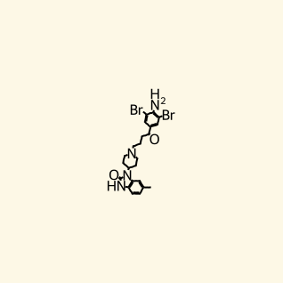 Cc1ccc2[nH]c(=O)n(C3CCN(CCCC(=O)c4cc(Br)c(N)c(Br)c4)CC3)c2c1